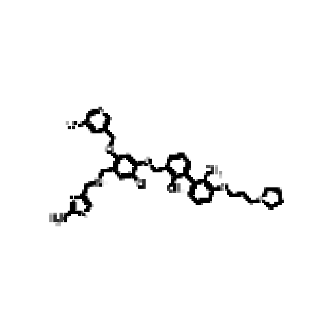 Cc1c(COc2cc(OCc3cncc(C#N)c3)c(CNCc3csc(N)n3)cc2Cl)cccc1-c1cccc(OCCCN2CCCC2)c1C